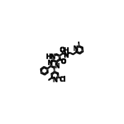 Cc1cc(-c2nc3c(=O)c(C(=O)NCCc4cccc(C)n4)c[nH]c3nc2-c2ccccc2)cc(Cl)n1